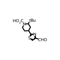 CC(C)(C)C1CC(c2nc(C=O)cs2)CCN1C(=O)O